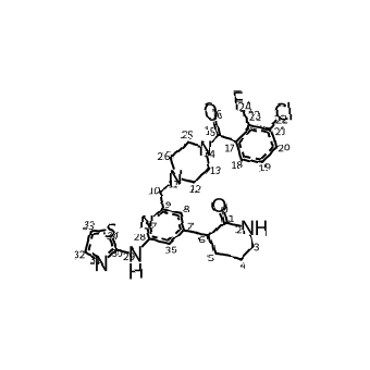 O=C1NCCCC1c1cc(CN2CCN(C(=O)c3cccc(Cl)c3F)CC2)nc(Nc2nccs2)c1